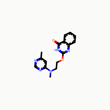 Cc1cc(N(C)CCOc2nc3ccccc3c(=O)[nH]2)ncn1